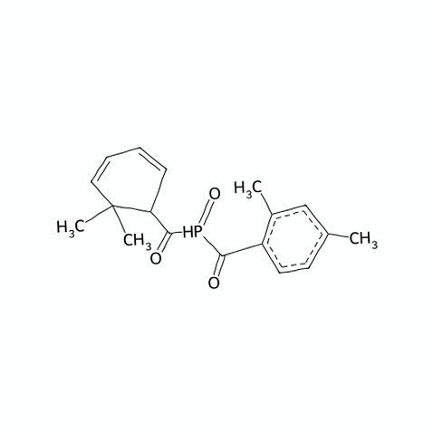 Cc1ccc(C(=O)[PH](=O)C(=O)C2C=CC=CC2(C)C)c(C)c1